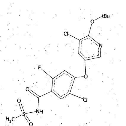 CC(C)(C)Oc1ncc(Oc2cc(F)c(C(=O)NS(C)(=O)=O)cc2Cl)cc1Cl